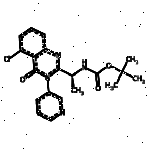 C[C@H](NC(=O)OC(C)(C)C)c1nc2cccc(Cl)c2c(=O)n1-c1cccnc1